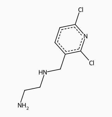 NCCNCc1ccc(Cl)nc1Cl